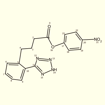 O=C(CCCc1ccccc1-c1nn[nH]n1)Oc1ccc([N+](=O)[O-])cc1